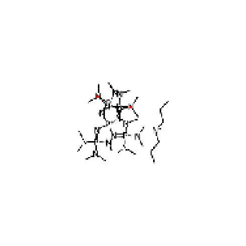 CCC[N-]CCC.CN(C)P(=N[P+](N=P(N(C)C)(N(C)C)N(C)C)(N=P(N(C)C)(N(C)C)N(C)C)N=P(N(C)C)(N(C)C)N(C)C)(N(C)C)N(C)C